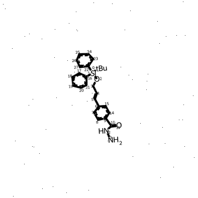 CC(C)(C)[Si](OCC=Cc1ccc(C(=O)NN)cc1)(c1ccccc1)c1ccccc1